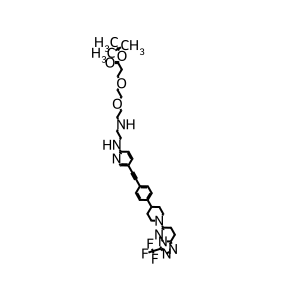 CC(C)(C)OC(=O)CCOCCOCCNCCNc1ccc(C#Cc2ccc(C3CCN(C4=Nn5c(nnc5C(F)(F)F)CC4)CC3)cc2)cn1